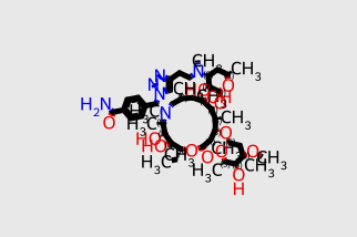 CC[C@H]1OC(=O)[C@H](C)[C@@H](O[C@H]2C[C@@](C)(OC)[C@@H](O)[C@H](C)O2)[C@H](C)[C@@H](O[C@@H]2O[C@H](C)C[C@H](N(C)CCc3cn(Cc4ccc(C(N)=O)cc4)nn3)[C@H]2O)[C@](C)(O)C[C@@H](C)CN(C)[C@H](C)[C@@H](O)[C@]1(C)O